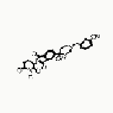 N#Cc1cccc(CN2CCC(O)(c3ccc4c(c3)C(=O)N(C3CCC(=O)NC3=O)C4=O)CC2)c1